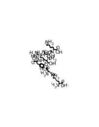 N=C(N)NCCCC(N)C(=O)O.NC(CS)C(=O)O.NC(Cc1ccccc1)C(=O)O.NCC(=O)O.NCCCCC(N)C(=O)O.NCCCCC(N)C(=O)O